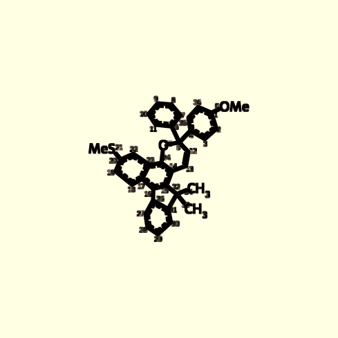 COc1ccc(C2(c3ccccc3)C=Cc3c4c(c5ccc(SC)cc5c3O2)-c2ccccc2C4(C)C)cc1